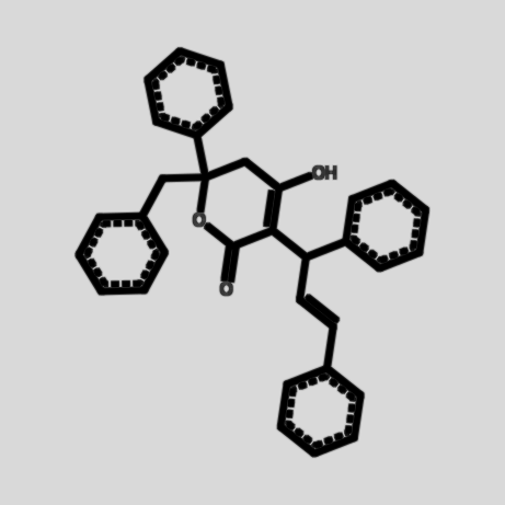 O=C1OC(Cc2ccccc2)(c2ccccc2)CC(O)=C1C(C=Cc1ccccc1)c1ccccc1